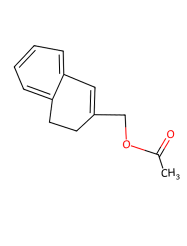 CC(=O)OCC1=Cc2ccccc2CC1